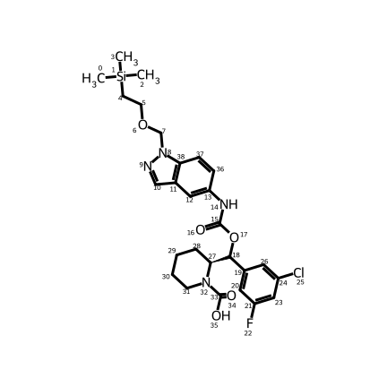 C[Si](C)(C)CCOCn1ncc2cc(NC(=O)OC(c3cc(F)cc(Cl)c3)[C@@H]3CCCCN3C(=O)O)ccc21